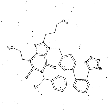 CCCCc1nc2c(c(=O)n(C(C)c3ccccc3)c(=O)n2CCC)n1Cc1ccc(-c2ccccc2-c2nnn[nH]2)cc1